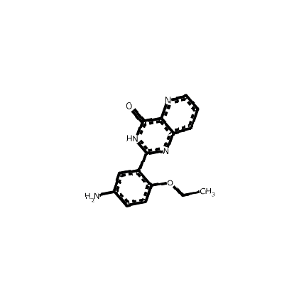 CCOc1ccc(N)cc1-c1nc2cccnc2c(=O)[nH]1